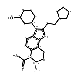 COC(=O)N1c2ccc3c(nc(CCC4CCCC4)n3C3CCCC(C(=O)O)C3)c2CC[C@@H]1C